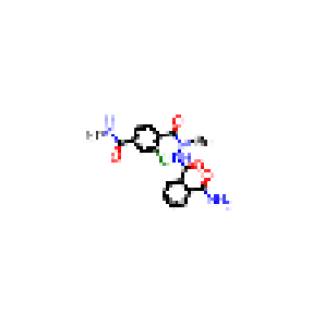 CCNC(=O)c1ccc(C(=O)N(NC(=O)c2ccccc2C(N)=O)C(C)CC)c(Cl)c1